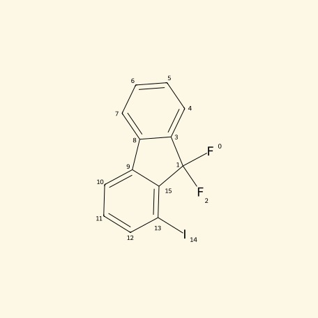 FC1(F)c2ccccc2-c2cccc(I)c21